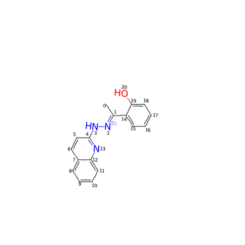 C/C(=N\Nc1ccc2ccccc2n1)c1ccccc1O